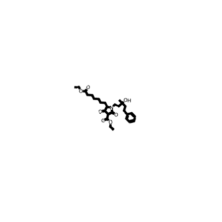 CCOC(=O)CCCCCCC1C(=O)C(C(=O)OCC)C(=O)N1CCC(C)(O)CCc1ccccc1